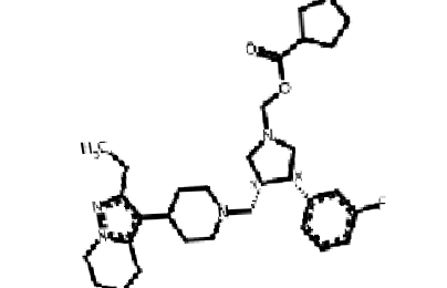 CCc1nn2c(c1C1CCN(C[C@@H]3CN(COC(=O)C4CCCC4)C[C@@H]3c3cccc(F)c3)CC1)CCCC2